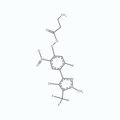 CCCC(=O)OOc1cc(F)c(-c2nn(C)c(C(F)(F)F)c2Cl)cc1[N+](=O)[O-]